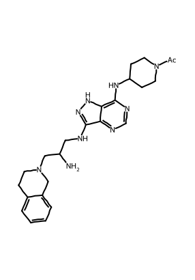 CC(=O)N1CCC(Nc2ncnc3c(NCC(N)CN4CCc5ccccc5C4)n[nH]c23)CC1